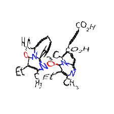 CCc1c(C)nc2cccc(C)n2c1=O.CCc1c(C)nc2cccc(C)n2c1=O.O=C(O)C=CC(=O)O